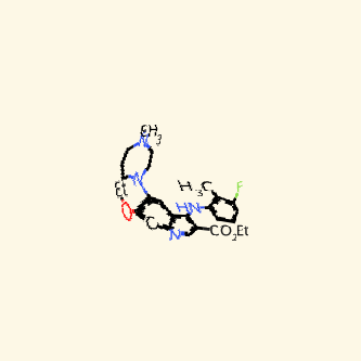 CCOC(=O)c1cnc2cc(OCC)c(N3CCCN(C)CC3)cc2c1Nc1cccc(F)c1C